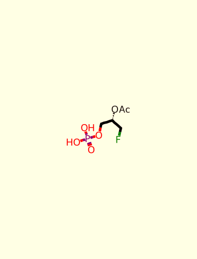 CC(=O)O[C@H](CF)COP(=O)(O)O